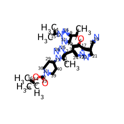 Cc1c(-c2cc(OC(C)c3cnn(C(C)C)n3)c3c(C#N)cnn3c2)nnn1C1CCN(C(=O)OC(C)(C)C)CC1